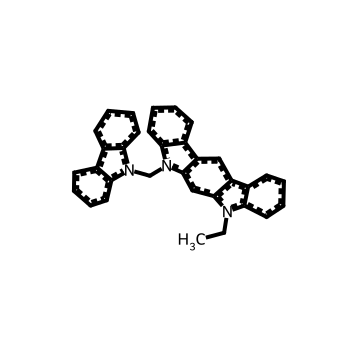 CCn1c2ccccc2c2cc3c4ccccc4n(Cn4c5ccccc5c5ccccc54)c3cc21